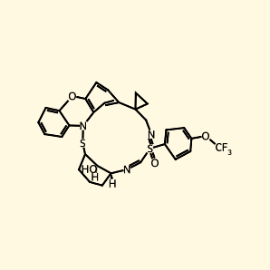 O=S1(c2ccc(OC(F)(F)F)cc2)=NCC2(CC2)c2ccc3c(c2)N(SC2CCC[C@@H](/N=C\1)[C@H]2O)c1ccccc1O3